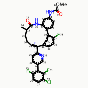 COC(=O)Nc1ccc2c(c1)NC(=O)C(C)CC/C=C(/c1ccc(-c3c(F)ccc(Cl)c3F)cn1)c1ccc(F)c-2c1